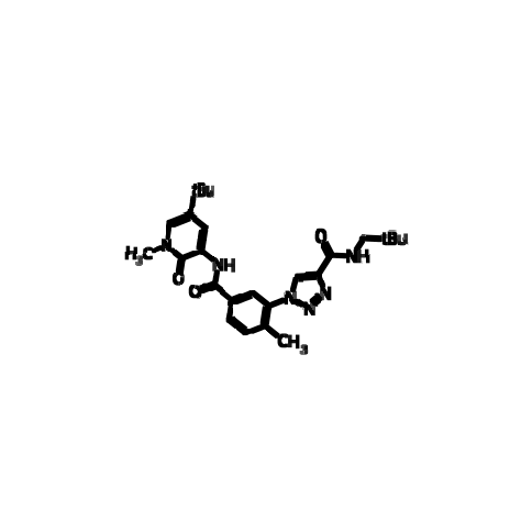 Cc1ccc(C(=O)Nc2cc(C(C)(C)C)cn(C)c2=O)cc1-n1cc(C(=O)NCC(C)(C)C)nn1